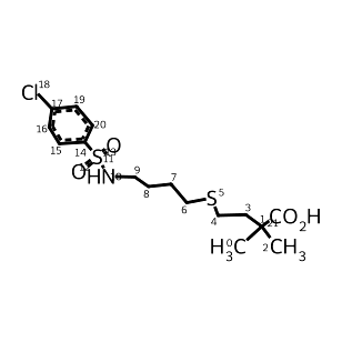 CC(C)(CCSCCCCNS(=O)(=O)c1ccc(Cl)cc1)C(=O)O